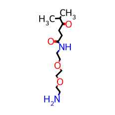 CC(C)C(=O)CCC(=O)NCCOCCOCCN